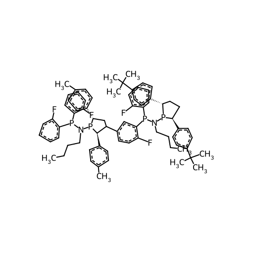 CCCCN(P(c1ccccc1F)c1ccccc1F)P1[C@H](c2ccc(C)cc2)C(c2ccc(F)c(P(c3ccccc3F)N(CCCC)P3[C@H](c4ccc(C(C)(C)C)cc4)CC[C@H]3c3ccc(C(C)(C)C)cc3)c2)C[C@H]1c1ccc(C)cc1